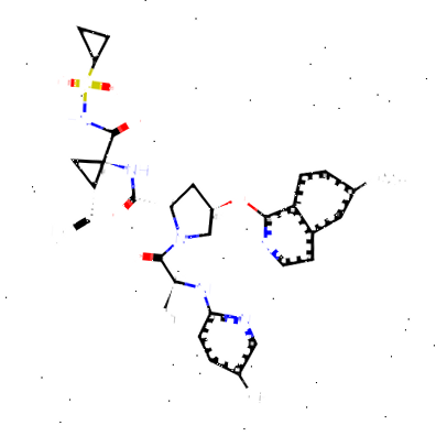 C=C[C@@H]1C[C@]1(NC(=O)[C@@H]1C[C@@H](Oc2nccc3cc(OC)ccc23)CN1C(=O)[C@@H](Nc1ccc(C(F)(F)F)cn1)C(C)C)C(=O)NS(=O)(=O)C1CC1